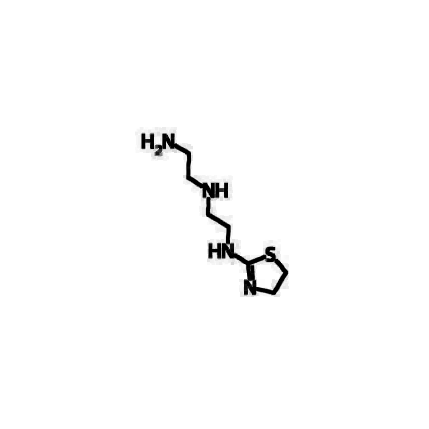 NCCNCCNC1=NCCS1